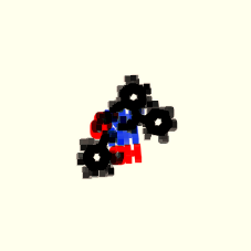 O=C(NC1C=C(c2ccccc2)c2ccccc2C[NH+]1[O-])c1ccccc1O